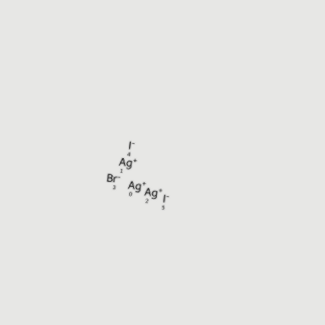 [Ag+].[Ag+].[Ag+].[Br-].[I-].[I-]